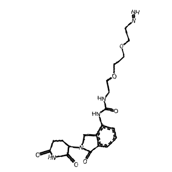 N=NCCOCCOCCNC(=O)Nc1cccc2c1CN(C1CCC(=O)NC1=O)C2=O